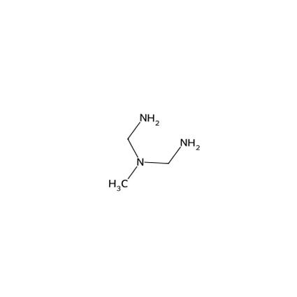 CN(CN)CN